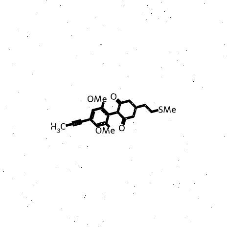 CC#Cc1cc(OC)c(C2C(=O)CC(CCSC)CC2=O)c(OC)c1